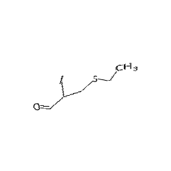 CCSCC(I)C=O